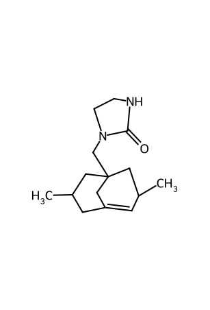 CC1C=C2CC(C)CC(CN3CCNC3=O)(C2)C1